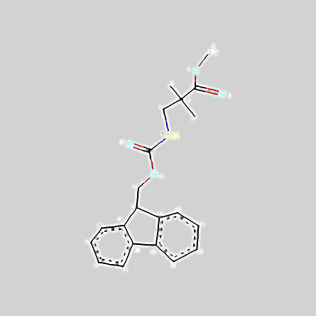 CC(C)OC(=O)C(C)(C)CNC(=O)OCC1c2ccccc2-c2ccccc21